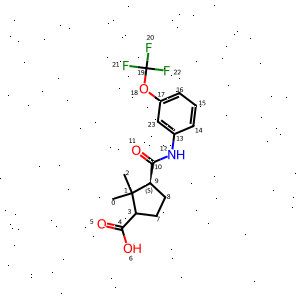 CC1(C)C(C(=O)O)CC[C@@H]1C(=O)Nc1cccc(OC(F)(F)F)c1